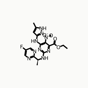 CCOC(=O)c1nc(N[C@@H](C)c2ncc(F)cn2)nc(Nc2cc(C)[nH]n2)c1[N+](=O)[O-]